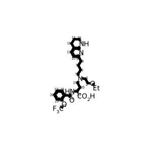 CCOCCN(CCCCc1ccc2c(n1)NCCC2)CC[C@H](NC(=O)c1ccccc1OC(F)(F)F)C(=O)O